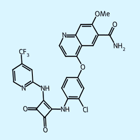 COc1cc2nccc(Oc3ccc(Nc4c(Nc5cc(C(F)(F)F)ccn5)c(=O)c4=O)c(Cl)c3)c2cc1C(N)=O